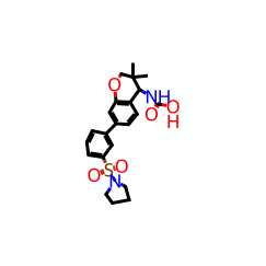 CC1(C)COc2cc(-c3cccc(S(=O)(=O)N4CCCC4)c3)ccc2C1NC(=O)O